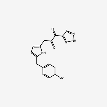 CC(=O)c1ccc(Cc2ccc(CC(=O)C(=O)c3nn[nH]n3)[nH]2)cc1